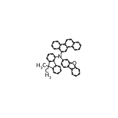 CC1(C)c2ccccc2-c2c(N(c3ccc4c(c3)oc3ccccc34)c3cc4c5ccccc5ccc4c4ccccc34)cccc21